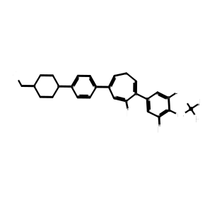 CCC1CCC(c2ccc(C3=CCC=C(c4cc(F)c(OC(F)(F)F)c(F)c4)C(F)=C3)cc2)CC1